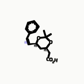 CC1(C)O[C@@H](CC(=O)O)C[C@@H](/C=C\c2ccccc2)O1